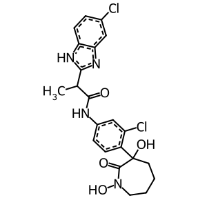 CC(C(=O)Nc1ccc(C2(O)CCCCN(O)C2=O)c(Cl)c1)c1nc2cc(Cl)ccc2[nH]1